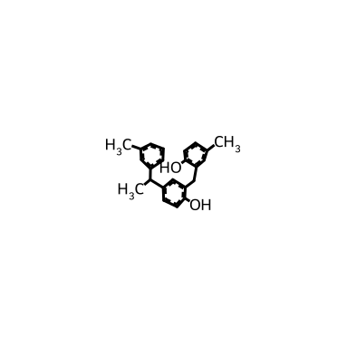 Cc1cccc(C(C)c2ccc(O)c(Cc3cc(C)ccc3O)c2)c1